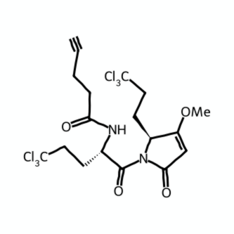 C#CCCC(=O)N[C@@H](CCC(Cl)(Cl)Cl)C(=O)N1C(=O)C=C(OC)[C@@H]1CCC(Cl)(Cl)Cl